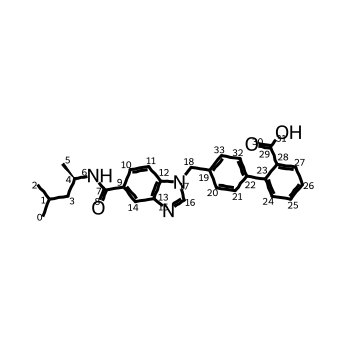 CC(C)C[C@@H](C)NC(=O)c1ccc2c(c1)ncn2Cc1ccc(-c2ccccc2C(=O)O)cc1